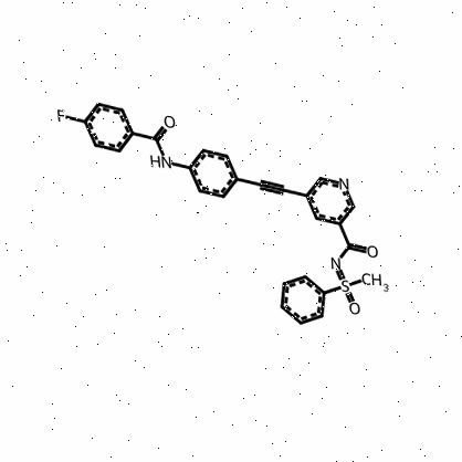 CS(=O)(=NC(=O)c1cncc(C#Cc2ccc(NC(=O)c3ccc(F)cc3)cc2)c1)c1ccccc1